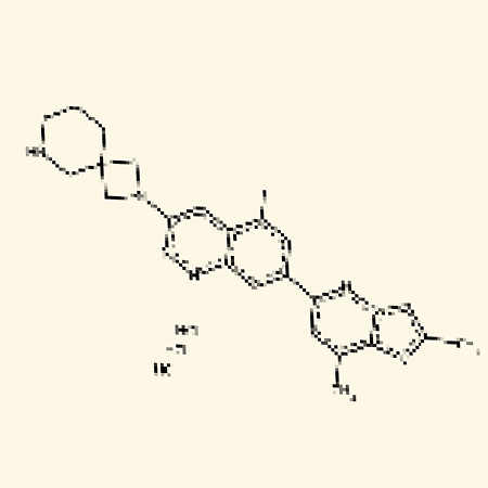 Cc1cn2nc(-c3cc(F)c4cc(N5CC6(CCCNC6)C5)nnc4c3)cc(C)c2n1.Cl.Cl.Cl